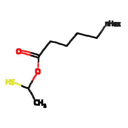 CCCCCCCCCCC(=O)OC(C)S